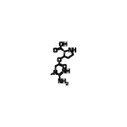 CN(CC(=O)OC1CCN[C@@H]1C(=O)O)C(=N)N